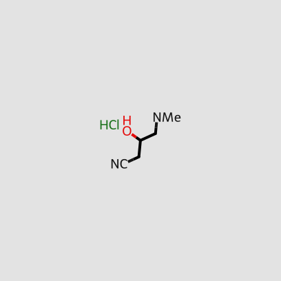 CNCC(O)CC#N.Cl